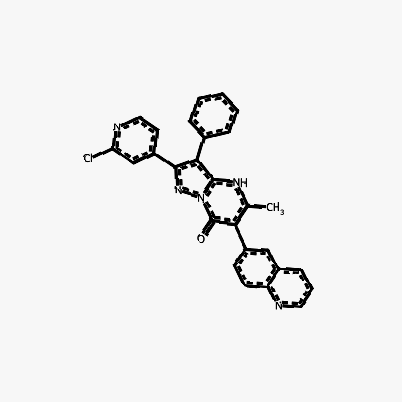 Cc1[nH]c2c(-c3ccccc3)c(-c3ccnc(Cl)c3)nn2c(=O)c1-c1ccc2ncccc2c1